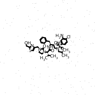 CC(C)CN(C[C@@H](O)[C@H](Cc1ccccc1)NC(=O)[C@H](C(C)C)N1CCN(Cc2csc(CO)n2)C1=O)S(=O)(=O)c1ccc(Cl)c(N)c1